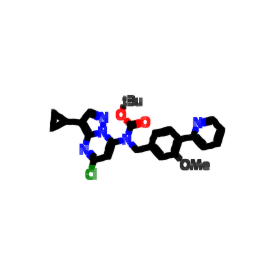 COc1cc(CN(C(=O)OC(C)(C)C)c2cc(Cl)nc3c(C4CC4)cnn23)ccc1-c1ccccn1